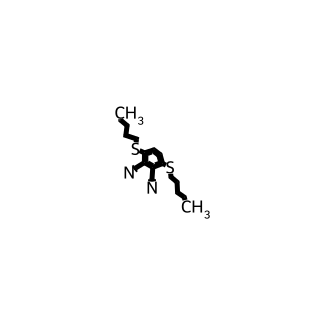 CCCCCSc1ccc(SCCCCC)c(C#N)c1C#N